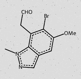 COc1cc2cnn(C)c2c(CC=O)c1Br